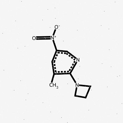 Cc1cc([N+](=O)[O-])cnc1N1CCC1